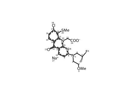 COCCN(CC(F)F)c1ccc2c(=O)c3ccc(Cl)c(SC)c3n(CC(=O)[O-])c2n1.[Na+]